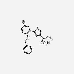 CC(C(=O)O)c1csc(-c2cc(Br)ccc2OCc2ccccc2)n1